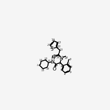 Cc1ccccc1C(C(=O)NC1CCCCC1)N(C)C(=O)Cc1cccs1